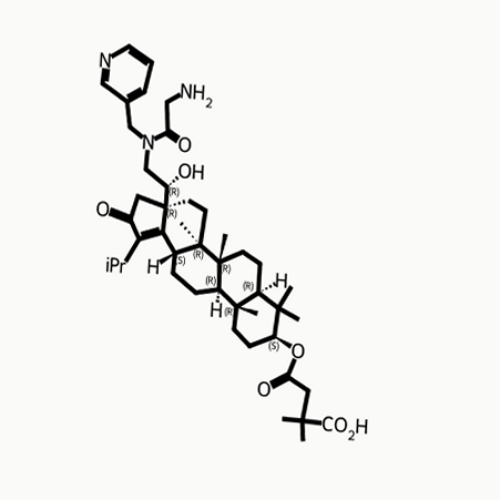 CC(C)C1=C2[C@H]3CC[C@@H]4[C@@]5(C)CC[C@H](OC(=O)CC(C)(C)C(=O)O)C(C)(C)[C@@H]5CC[C@@]4(C)[C@]3(C)CC[C@@]2([C@@H](O)CN(Cc2cccnc2)C(=O)CN)CC1=O